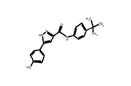 CC(C)(C)c1ccc(NC(=O)c2cc(-c3ccc(O)cc3)[nH]n2)cc1